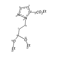 CCOC(=O)c1ccnn1CCC(OCC)OCC